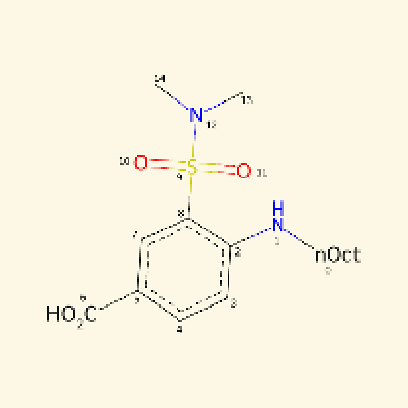 CCCCCCCCNc1ccc(C(=O)O)cc1S(=O)(=O)N(C)C